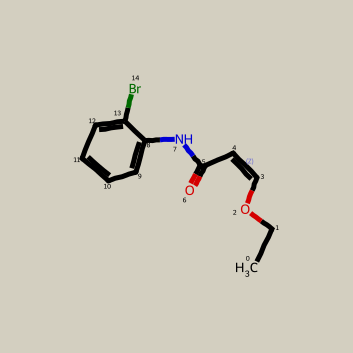 CCO/C=C\C(=O)Nc1ccccc1Br